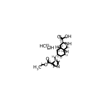 CCOC(=O)c1cncn1C[C@H]1CC[C@H]2CN[C@H](C(=O)O)C[C@H]2C1.Cl.Cl